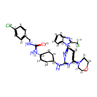 O=C(NCc1ccc(Cl)cc1)N[C@H]1CC[C@H](Nc2nc(N3CCOCC3)cc(-n3c(C(F)F)nc4ccccc43)n2)CC1